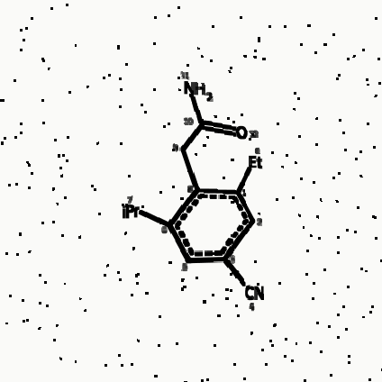 CCc1cc(C#N)cc(C(C)C)c1CC(N)=O